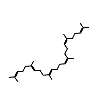 CC(C)=CCCC(C)=CCCC(C)=CCCC=C(C)CCC=C(C)CCC=C(C)C